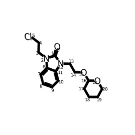 O=c1n(CCCl)c2ccccc2n1CCOC1CCCCO1